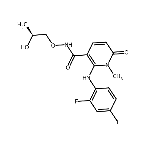 C[C@H](O)CONC(=O)c1ccc(=O)n(C)c1Nc1ccc(I)cc1F